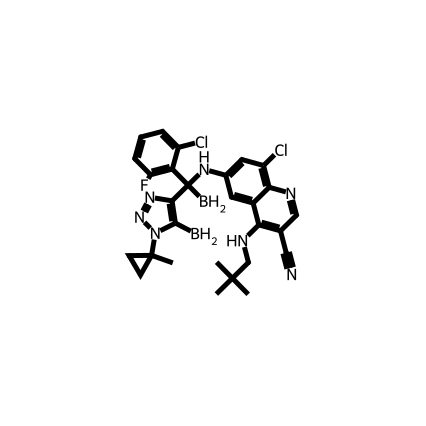 Bc1c(C(B)(Nc2cc(Cl)c3ncc(C#N)c(NCC(C)(C)C)c3c2)c2c(F)cccc2Cl)nnn1C1(C)CC1